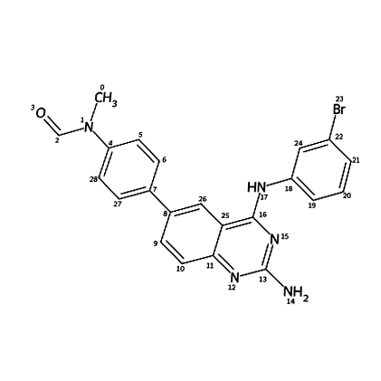 CN(C=O)c1ccc(-c2ccc3nc(N)nc(Nc4cccc(Br)c4)c3c2)cc1